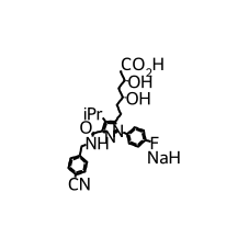 CC(C)c1c(C(=O)NCc2ccc(C#N)cc2)nn(-c2ccc(F)cc2)c1CC[C@@H](O)C[C@@H](O)CC(=O)O.[NaH]